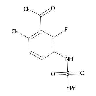 CCCS(=O)(=O)Nc1ccc(Cl)c(C(=O)Cl)c1F